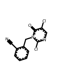 N#Cc1ccccc1Cn1c(Cl)ncc(Cl)c1=O